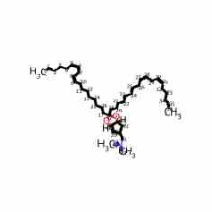 CCCCC/C=C\C/C=C\CCCCCCCCC1(CCCCCCCC/C=C\C/C=C\CCCCC)O[C@@H]2CC(CN(C)C)C[C@H]2O1